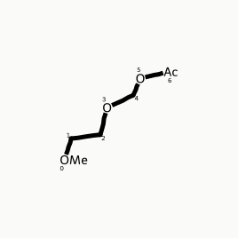 COCCOCOC(C)=O